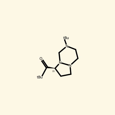 CC(C)(C)C(=O)[C@@H]1CCN2CCN(C(C)(C)C)CN12